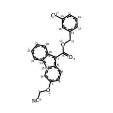 N#CCOc1ccc2c(C(=O)OCc3cccc(Cl)c3)c3ccccc3n2c1